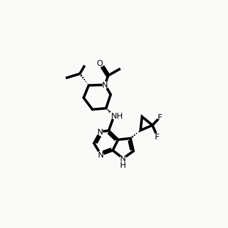 CC(=O)N1C[C@H](Nc2ncnc3[nH]cc([C@@H]4CC4(F)F)c23)CC[C@@H]1C(C)C